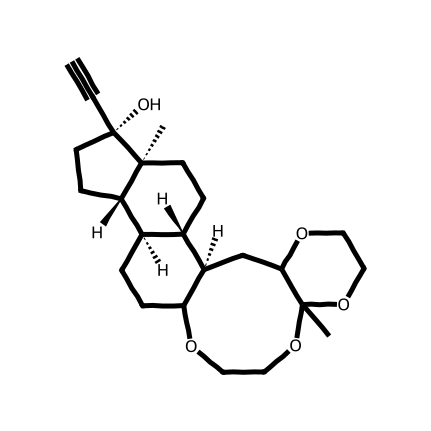 C#C[C@]1(O)CC[C@H]2[C@@H]3CCC4OCCOC5(C)OCCOC5C[C@@H]4[C@H]3CC[C@@]21C